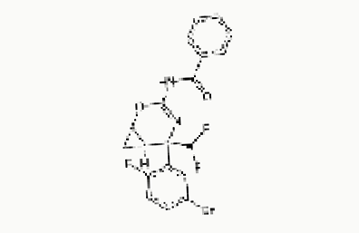 O=C(NC1=N[C@@](c2cc(Br)ccc2F)(C(F)F)[C@H]2CC2O1)c1ccccc1